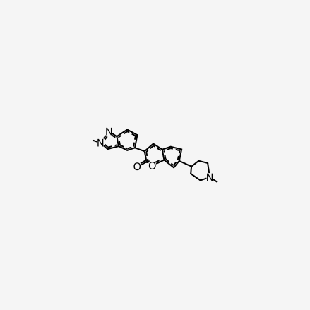 CN1CCC(c2ccc3cc(-c4ccc5nn(C)cc5c4)c(=O)oc3c2)CC1